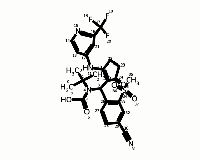 CC(C)(C)N(C(=O)O)C(C1=C(Nc2ccnc(C(F)(F)F)c2)CCC1=O)c1ccc(C#N)cc1S(C)(=O)=O